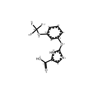 O=C(O)c1cnc(Oc2cccc(OC(F)(F)F)c2)[nH]1